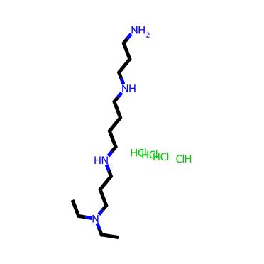 CCN(CC)CCCNCCCCNCCCN.Cl.Cl.Cl.Cl